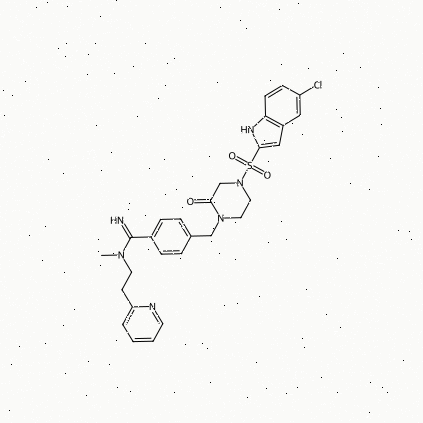 CN(CCc1ccccn1)C(=N)c1ccc(CN2CCN(S(=O)(=O)c3cc4cc(Cl)ccc4[nH]3)CC2=O)cc1